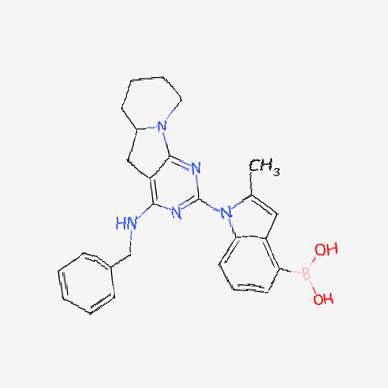 Cc1cc2c(B(O)O)cccc2n1-c1nc(NCc2ccccc2)c2c(n1)N1CCCCC1C2